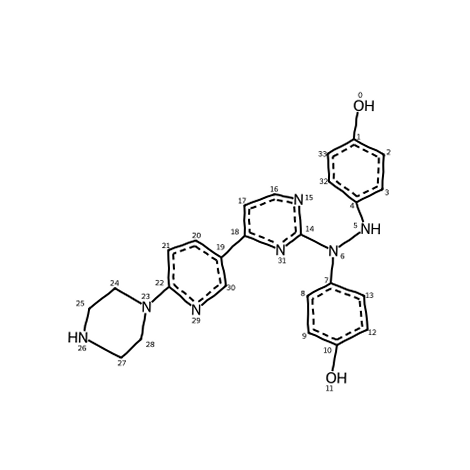 Oc1ccc(NN(c2ccc(O)cc2)c2nccc(-c3ccc(N4CCNCC4)nc3)n2)cc1